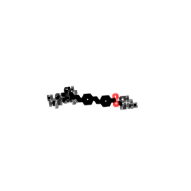 CCCCCC[C@H](C)OC(=O)c1ccc(CCc2ccc(CCCC[Si](C)(C)C[Si](C)(C)C)cc2)cc1